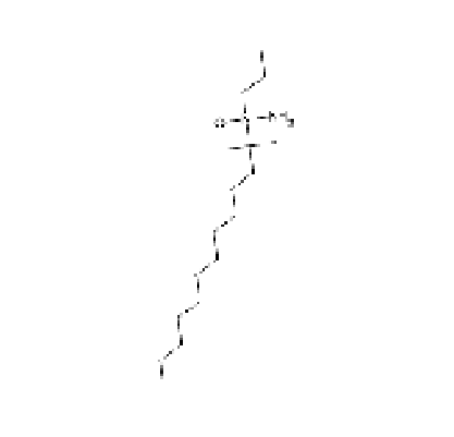 CCCCCCCCCCCC(C)(C)[N+](N)([O-])CCC